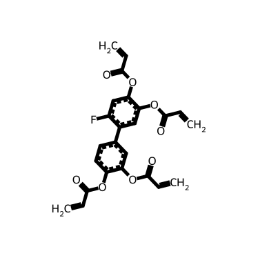 C=CC(=O)Oc1ccc(-c2cc(OC(=O)C=C)c(OC(=O)C=C)cc2F)cc1OC(=O)C=C